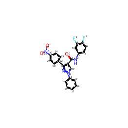 O=C(Nc1ccc(F)c(F)c1)c1cn(-c2ccccc2)nc1-c1ccc([N+](=O)[O-])cc1